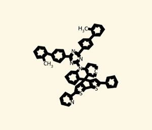 Cc1ccccc1-c1ccc(-c2nc(-c3ccc(-c4ccccc4C)cc3)nc(N3c4ccccc4C4(c5ccccc53)c3cc(-c5ccccc5)sc3-c3sc(-c5ccccn5)cc34)n2)cc1